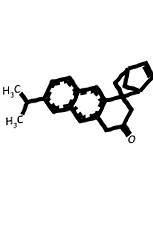 CC(C)c1ccc2cc3c(cc2c1)CC(=O)CC31CC2C=CC1C2